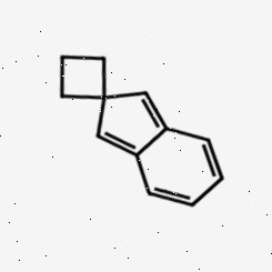 C1=c2ccccc2=CC12CCC2